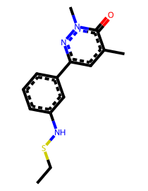 CCSNc1cccc(-c2cc(C)c(=O)n(C)n2)c1